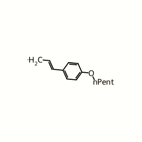 [CH2]C=Cc1ccc(OCCCCC)cc1